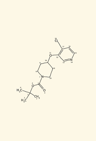 CC(C)(C)OC(=O)N1CCC(Oc2cnccc2Cl)CC1